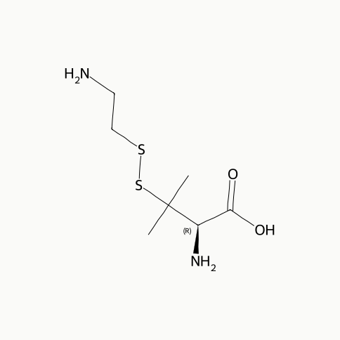 CC(C)(SSCCN)[C@H](N)C(=O)O